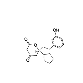 O=C1CC(=O)O[C@@](CCc2cccc(O)c2)(C2CCCC2)C1